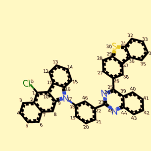 Clc1c2ccccc2cc2c1c1ccccc1n2-c1cccc(-c2nc(-c3ccc4sc5ccccc5c4c3)c3ccccc3n2)c1